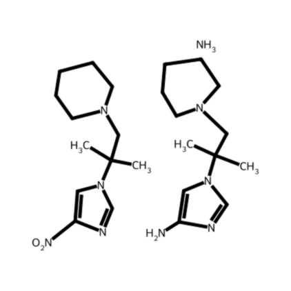 CC(C)(CN1CCCCC1)n1cnc(N)c1.CC(C)(CN1CCCCC1)n1cnc([N+](=O)[O-])c1.N